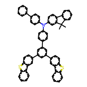 CC1(C)c2ccccc2-c2ccc(N(c3ccc(-c4ccccc4)cc3)c3ccc(-c4cc(-c5ccc6sc7ccccc7c6c5)cc(-c5ccc6sc7ccccc7c6c5)c4)cc3)cc21